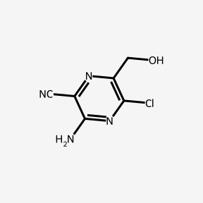 N#Cc1nc(CO)c(Cl)nc1N